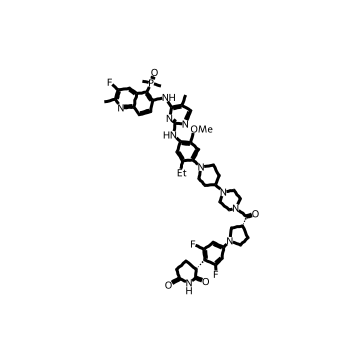 CCc1cc(Nc2ncc(C)c(Nc3ccc4nc(C)c(F)cc4c3P(C)(C)=O)n2)c(OC)cc1N1CCC(N2CCN(C(=O)[C@@H]3CCN(c4cc(F)c([C@H]5CCC(=O)NC5=O)c(F)c4)C3)CC2)CC1